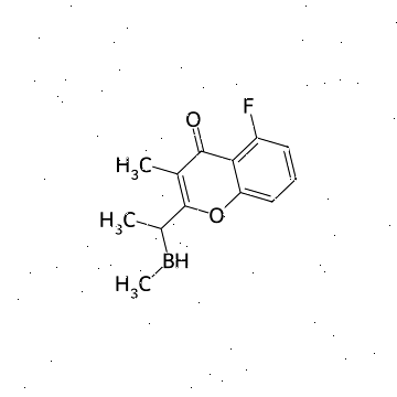 CBC(C)c1oc2cccc(F)c2c(=O)c1C